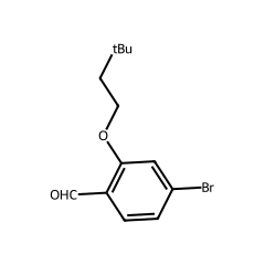 CC(C)(C)CCOc1cc(Br)ccc1C=O